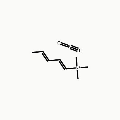 CC=CC=C[N+](C)(C)C.O=[P]#[Ti]